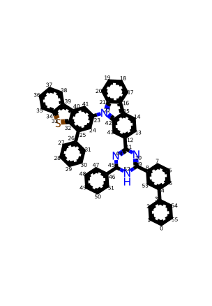 c1ccc(-c2cccc(C3=NC(c4ccc5c6ccccc6n(-c6cc(-c7ccccc7)c7sc8ccccc8c7c6)c5c4)=NC(c4ccccc4)N3)c2)cc1